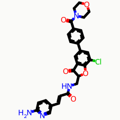 Nc1ccc(C=CC(=O)NCC2Oc3c(Cl)cc(-c4ccc(C(=O)N5CCOCC5)cc4)cc3C2=O)cn1